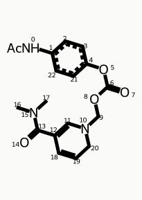 CC(=O)Nc1ccc(OC(=O)OCN2C=C(C(=O)N(C)C)C=CC2)cc1